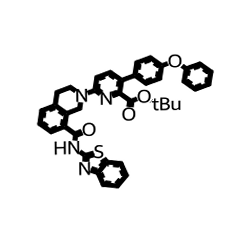 CC(C)(C)OC(=O)c1nc(N2CCc3cccc(C(=O)Nc4nc5ccccc5s4)c3C2)ccc1-c1ccc(Oc2ccccc2)cc1